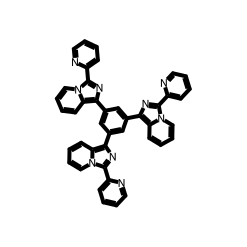 c1ccc(-c2nc(-c3cc(-c4nc(-c5ccccn5)n5ccccc45)cc(-c4nc(-c5ccccn5)n5ccccc45)c3)c3ccccn23)nc1